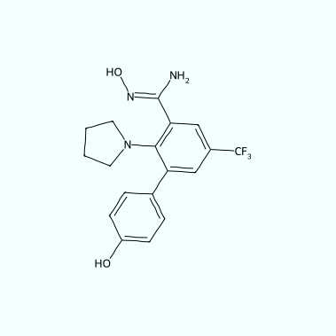 NC(=NO)c1cc(C(F)(F)F)cc(-c2ccc(O)cc2)c1N1CCCC1